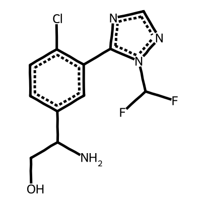 NC(CO)c1ccc(Cl)c(-c2ncnn2C(F)F)c1